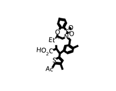 CC[C@@H]1CN(Cc2cc(C(c3cc(C)c(C(C)=O)s3)C(C)C(=O)O)ccc2C)S(=O)(=O)c2ccccc2O1